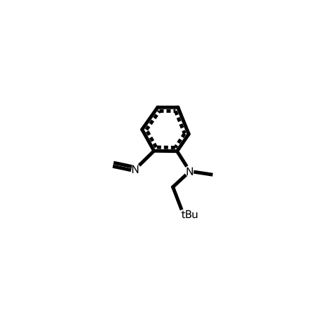 C=Nc1ccccc1N(C)CC(C)(C)C